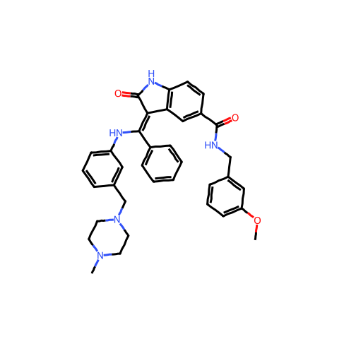 COc1cccc(CNC(=O)c2ccc3c(c2)/C(=C(/Nc2cccc(CN4CCN(C)CC4)c2)c2ccccc2)C(=O)N3)c1